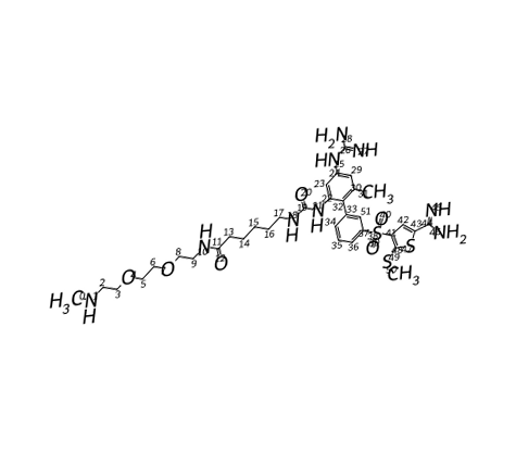 CNCCOCCOCCNC(=O)CCCCCNC(=O)Nc1cc(NC(=N)N)cc(C)c1-c1cccc(S(=O)(=O)c2cc(C(=N)N)sc2SC)c1